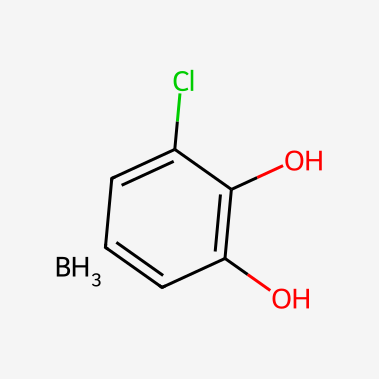 B.Oc1cccc(Cl)c1O